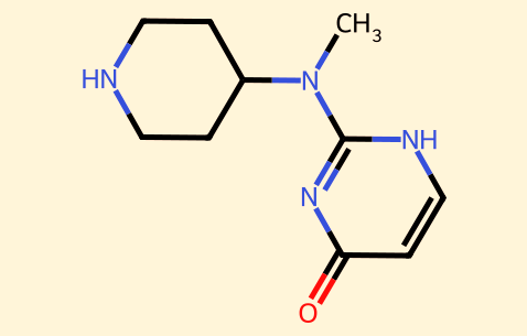 CN(c1nc(=O)cc[nH]1)C1CCNCC1